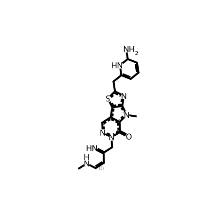 CN/C=C\C(=N)Cn1ncc2c3sc(CC4=CC=CC(N)N4)nc3n(C)c2c1=O